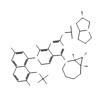 [2H]C([2H])(F)Oc1c(F)ccc2cc(N)cc(N3CC=c4c(N5CCCC[C@H]6[C@H](F)[C@H]65)nc(OC([2H])([2H])[C@@]56CCCN5C[C@H](F)C6)nc4=C3F)c12